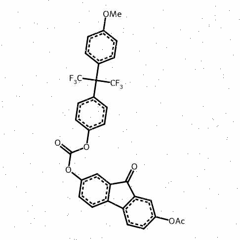 COc1ccc(C(c2ccc(OC(=O)Oc3ccc4c(c3)C(=O)c3cc(OC(C)=O)ccc3-4)cc2)(C(F)(F)F)C(F)(F)F)cc1